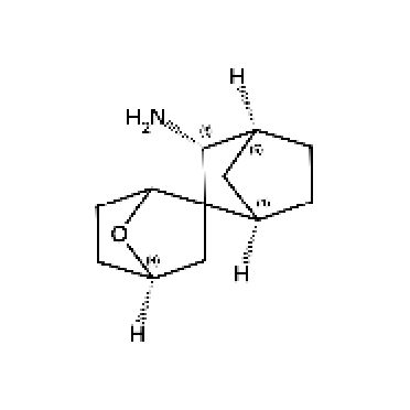 N[C@@H]1[C@H]2CC[C@H](C2)C12C[C@H]1CCC2O1